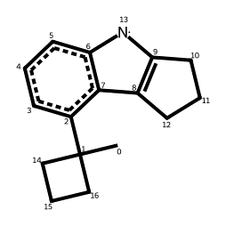 CC1(c2cccc3c2C2=C(CCC2)[N]3)CCC1